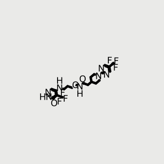 O=C(CC1CCN(c2ncc(C(F)(F)F)cn2)CC1)NOCCCNc1cn[nH]c(=O)c1C(F)(F)F